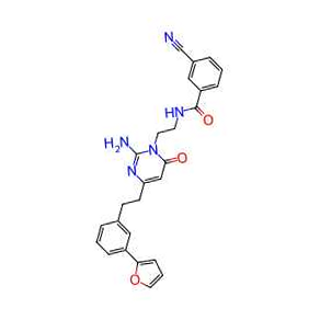 N#Cc1cccc(C(=O)NCCn2c(N)nc(CCc3cccc(-c4ccco4)c3)cc2=O)c1